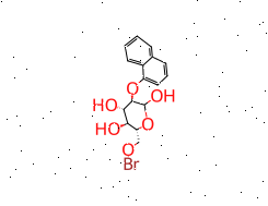 OC1O[C@H](COBr)[C@@H](O)[C@H](O)[C@H]1Oc1cccc2ccccc12